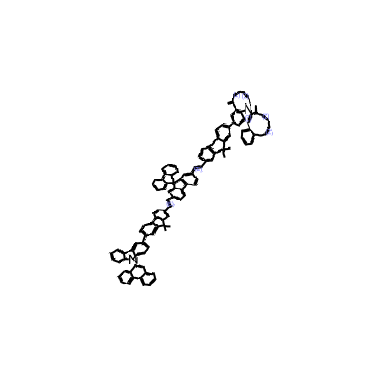 C=C1/C=C\C=C/Cc2ccccc2/C=C\1N1C/C=C\C=C/C(=C)c2cc(-c3ccc4c(c3)C(C)(C)c3cc(/C=C/c5ccc6c(c5)C5(c7ccccc7-c7ccccc75)c5cc(/C=C/c7ccc8c(c7)C(C)(C)c7cc(-c9ccc%10c(c9)c9ccccc9n%10-c9cc%10ccccc%10c%10ccccc9%10)ccc7-8)ccc5-6)ccc3-4)ccc21